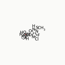 CSc1nc2c(F)c(Cl)nc(OC[C@H]3NC[C@H]4CC[C@@H]3N4C(=O)O)c2c(=O)[nH]1